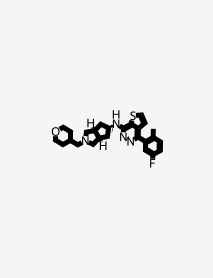 Cc1ccc(F)cc1-c1nnc(N[C@H]2C[C@@H]3CN(CC4CCOCC4)C[C@@H]3C2)c2sccc12